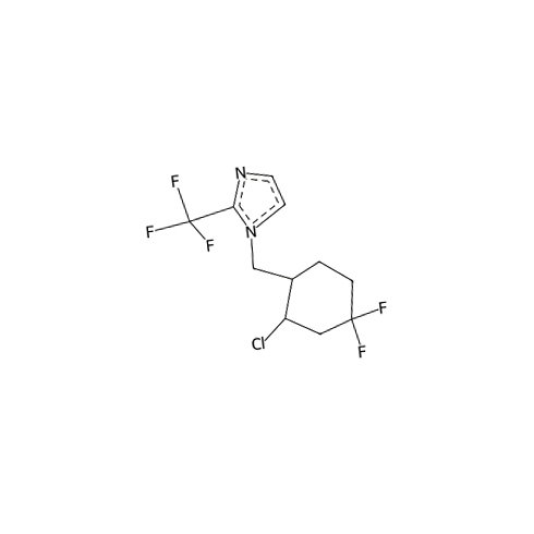 FC1(F)CCC(Cn2ccnc2C(F)(F)F)C(Cl)C1